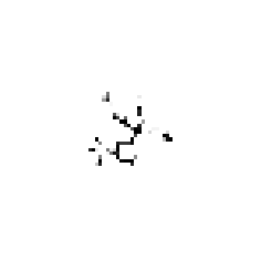 CCOC(=O)C(F)(F)C(CCOC)(N[S@@+]([O-])C(C)(C)C)c1nc(Br)cc([Si](CC)(CC)CC)c1F